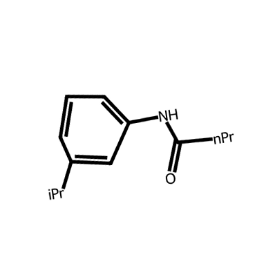 [CH2]C(C)c1cccc(NC(=O)CCC)c1